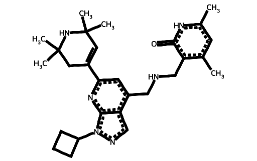 Cc1cc(C)c(CNCc2cc(C3=CC(C)(C)NC(C)(C)C3)nc3c2cnn3C2CCC2)c(=O)[nH]1